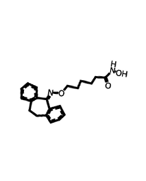 O=C(CCCCCON=C1c2ccccc2CCc2ccccc21)NO